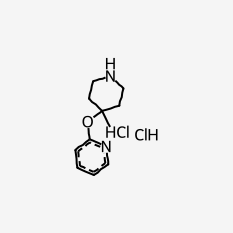 CC1(Oc2ccccn2)CCNCC1.Cl.Cl